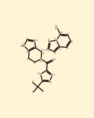 CC(C)(C)c1nnc(C(=O)N2CCc3[nH]cnc3[C@@H]2c2cc3cccc(Cl)n3n2)o1